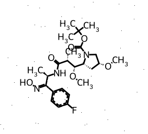 CO[C@@H]1C[C@H]([C@H](OC)[C@@H](C)C(=O)N[C@H](C)C(=NO)c2ccc(F)cc2)N(C(=O)OC(C)(C)C)C1